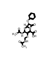 CC(=O)NCSC1=C(C(=O)O)N2C(=O)[C@@H](Oc3ccccc3)[C@H]2SC1NC(C)=O